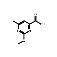 COc1nc(C)cc(C(=O)O)n1